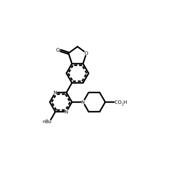 CCCCc1cnc(-c2ccc3c(c2)C(=O)CO3)c(N2CCC(C(=O)O)CC2)n1